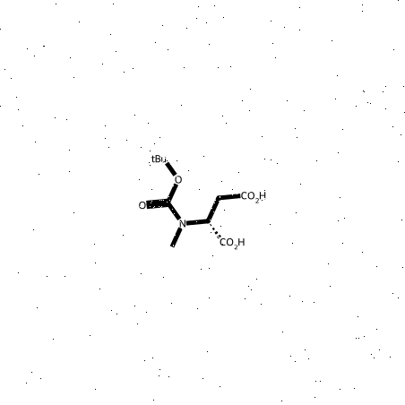 CN(C(=O)OC(C)(C)C)[C@H](CC(=O)O)C(=O)O